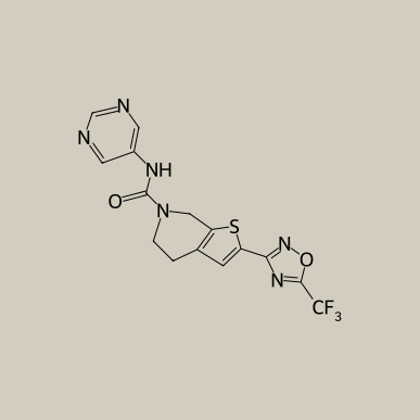 O=C(Nc1cncnc1)N1CCc2cc(-c3noc(C(F)(F)F)n3)sc2C1